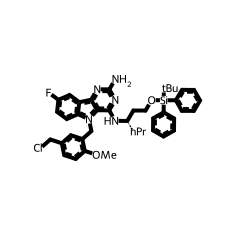 CCC[C@@H](CCO[Si](c1ccccc1)(c1ccccc1)C(C)(C)C)Nc1nc(N)nc2c3cc(F)ccc3n(Cc3cc(CCl)ccc3OC)c12